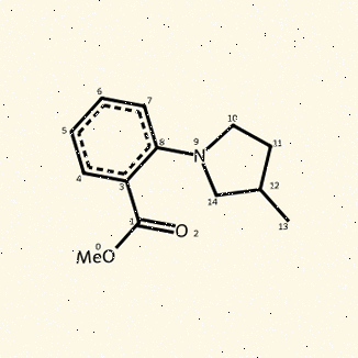 COC(=O)c1ccccc1N1CCC(C)C1